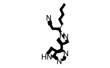 CCCCC[C@@H](CC#N)n1cc(-c2ncnc3[nH]ccc23)cn1